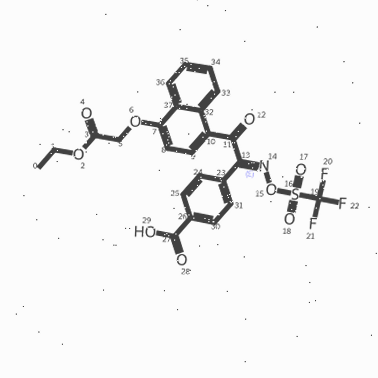 CCOC(=O)COc1ccc(C(=O)/C(=N/OS(=O)(=O)C(F)(F)F)c2ccc(C(=O)O)cc2)c2ccccc12